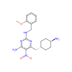 COc1ccccc1CNc1nc(N)c([N+](=O)[O-])c(C[C@H]2CC[C@H](N)CC2)n1